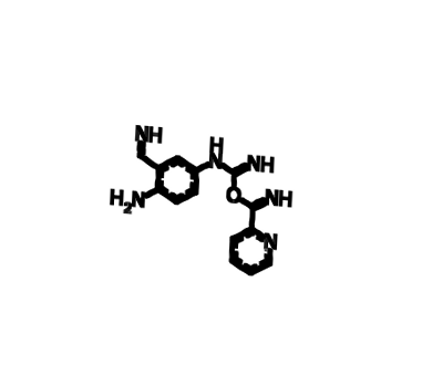 N=Cc1cc(NC(=N)OC(=N)c2ccccn2)ccc1N